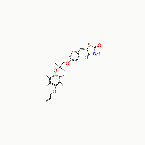 C=CCOc1c(C)c(C)c2c(c1C)CCC(C)(COc1ccc(/C=C3/SC(=O)NC3=O)cc1)O2